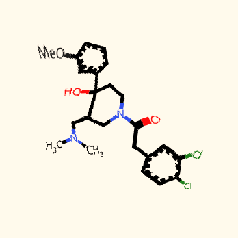 COc1cccc(C2(O)CCN(C(=O)Cc3ccc(Cl)c(Cl)c3)CC2CN(C)C)c1